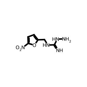 N=C(NN)NCc1ccc([N+](=O)[O-])o1